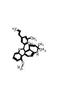 C=CCc1cc(C)cc(C2Oc3cccc(OC)c3-c3ccc4c(c32)C(C)=CC(C)(C)N4)c1